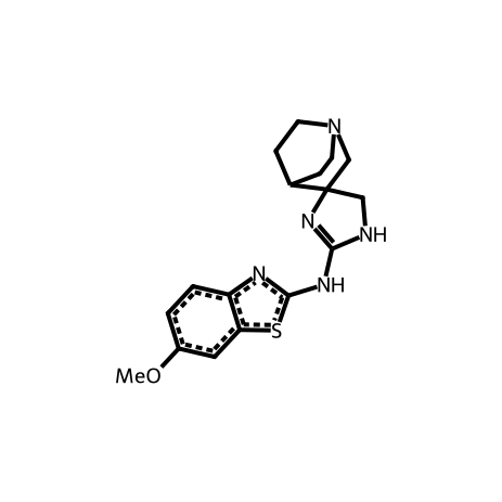 COc1ccc2nc(NC3=NC4(CN3)CN3CCC4CC3)sc2c1